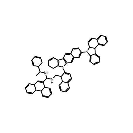 CC(NC(NCC1C(n2c3c(c4cc5ccc(N6c7ccccc7C7c8ccccc8C=CC76)cc5cc42)C=CCC3)=CC=C2C=CC=CC21)C1=CC2C=CC=CC2C2C=CC=CC12)C1C=CC=CC1